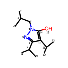 CC(C)Cn1nc(C(C)C)c(C(C)C)c1O